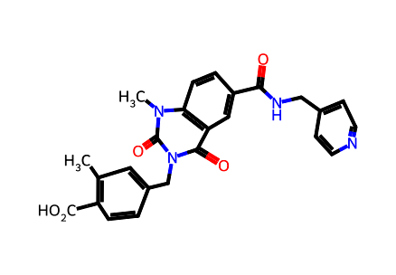 Cc1cc(Cn2c(=O)c3cc(C(=O)NCc4ccncc4)ccc3n(C)c2=O)ccc1C(=O)O